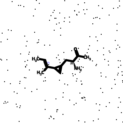 C/C=C(\C)C1C=C1C[C@@H](N)C(C)=O